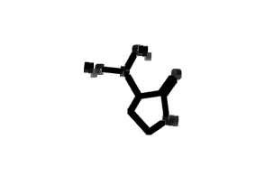 CN(C)C1CCNC1=O